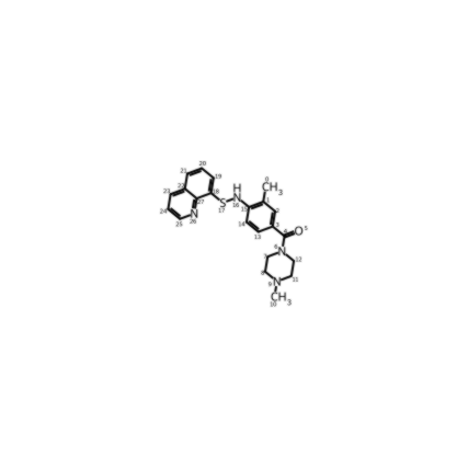 Cc1cc(C(=O)N2CCN(C)CC2)ccc1NSc1cccc2cccnc12